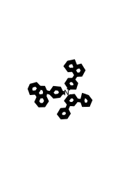 c1ccc(-c2cc(-c3ccccc3)cc(N(c3ccc(-c4cccc5ccccc45)cc3)c3ccc(-c4cc5ccccc5c5ccccc45)cc3)c2)cc1